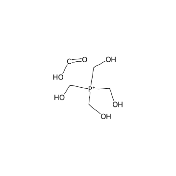 O=[C-]O.OC[P+](CO)(CO)CO